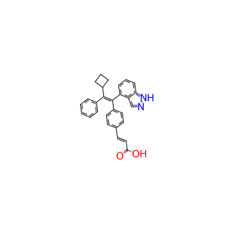 O=C(O)/C=C/c1ccc(/C(=C(\c2ccccc2)C2CCC2)c2cccc3[nH]ncc23)cc1